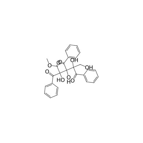 COC(=O)C(O)(C(=O)c1ccccc1)C(O)(C(=O)c1ccccc1)C(O)(CO)C(=O)c1ccccc1